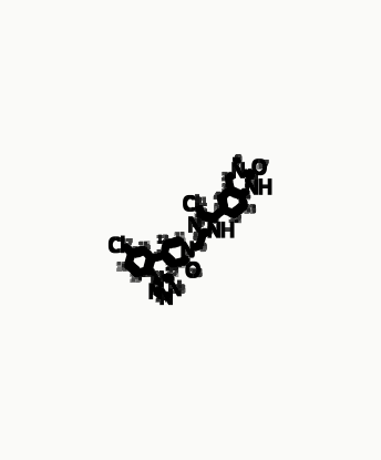 CN1Cc2cc(-c3[nH]c(Cn4ccc(-c5cc(Cl)ccc5-n5cnnn5)cc4=O)nc3Cl)ccc2NC1=O